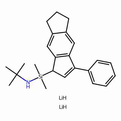 CC(C)(C)N[Si](C)(C)C1C=C(c2ccccc2)c2cc3c(cc21)CCC3.[LiH].[LiH]